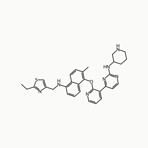 CCc1nc(CNc2cccc3c(Oc4ncccc4-c4ccnc(NC5CCCNC5)n4)c(C)ccc23)cs1